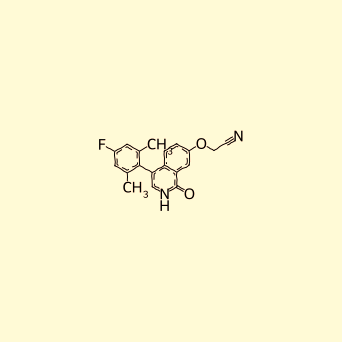 Cc1cc(F)cc(C)c1-c1c[nH]c(=O)c2cc(OCC#N)ccc12